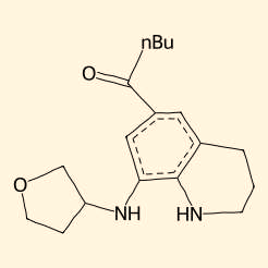 CCCCC(=O)c1cc2c(c(NC3CCOC3)c1)NCCC2